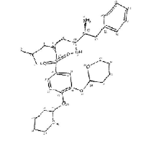 CC(C)CN(C[C@@H](O)[C@@H](N)Cc1ccccc1)S(=O)(=O)c1ccc(OC2CCCCO2)c(OC2CCCCO2)c1